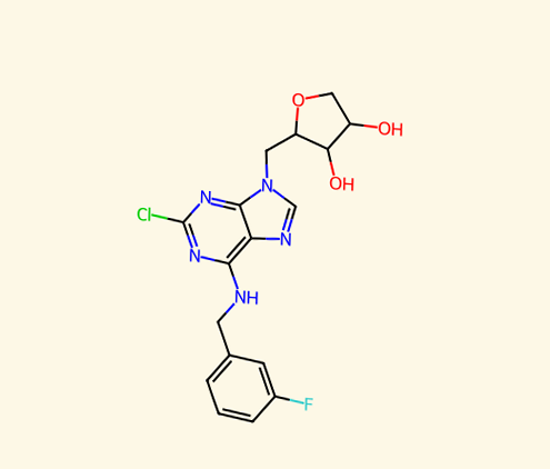 OC1COC(Cn2cnc3c(NCc4cccc(F)c4)nc(Cl)nc32)C1O